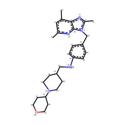 Cc1cc(C)c2nc(C)n(Cc3ccc(NCC4CCN(C5CCOCC5)CC4)cc3)c2n1